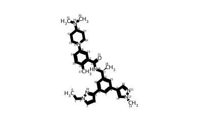 CCn1ccc(-c2cc(-c3cnn(C)c3)cc([C@@H](C)NC(=O)c3cc(N4CCC(N(C)C)CC4)ccc3C)c2)n1